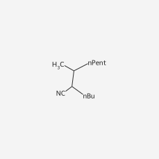 CCCCCC(C)C(C#N)CCCC